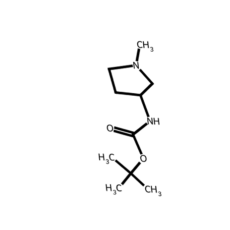 CN1CCC(NC(=O)OC(C)(C)C)C1